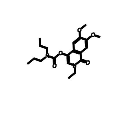 CCCN(CCC)C(=O)Oc1cn(CC)c(=O)c2cc(OC)c(OC)cc12